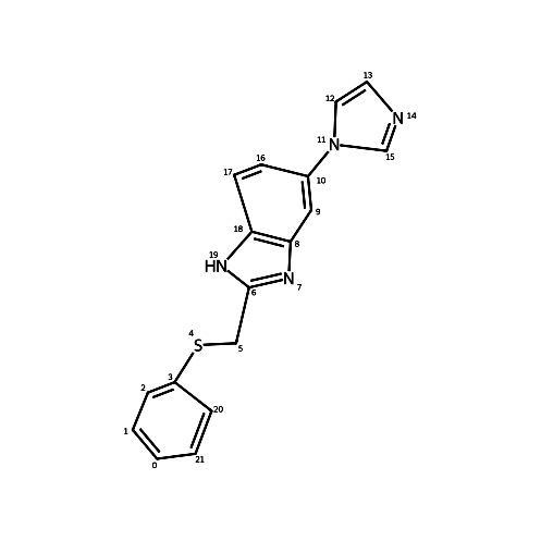 c1ccc(SCc2nc3cc(-n4ccnc4)ccc3[nH]2)cc1